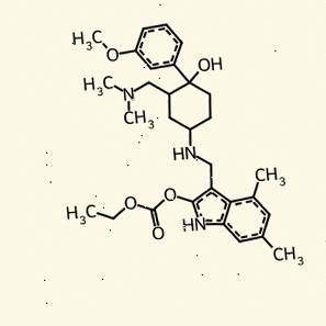 CCOC(=O)Oc1[nH]c2cc(C)cc(C)c2c1CNC1CCC(O)(c2cccc(OC)c2)C(CN(C)C)C1